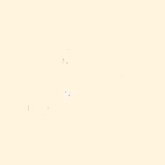 N#Cc1cn(CC(=O)O)cc1-c1cc(C(F)(F)F)ccc1C(F)(F)F